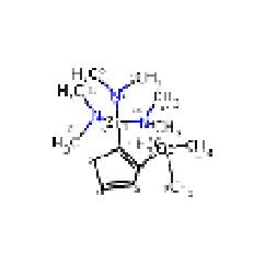 C[N](C)[Zr]([C]1=[C]([Ge]([CH3])([CH3])[C](F)(F)F)C=CC1)([N](C)C)[N](C)C